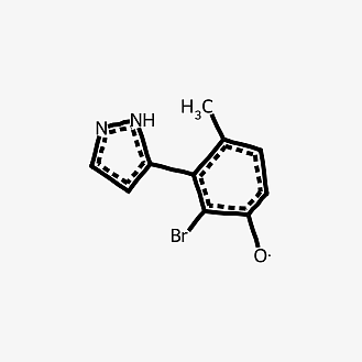 Cc1ccc([O])c(Br)c1-c1ccn[nH]1